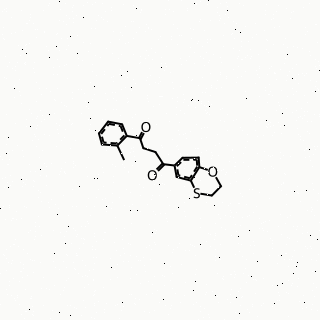 Cc1ccccc1C(=O)CCC(=O)c1ccc2c(c1)SCCO2